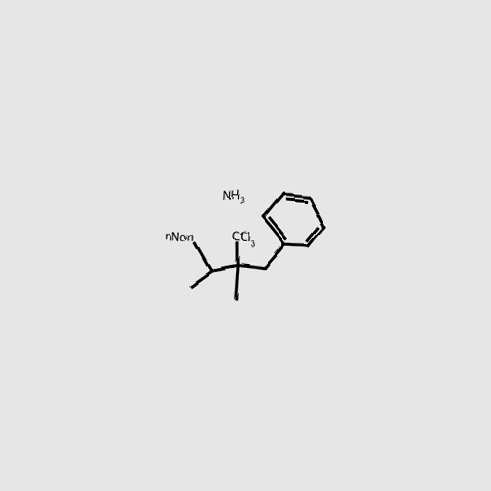 CCCCCCCCCC(C)C(C)(Cc1ccccc1)C(Cl)(Cl)Cl.N